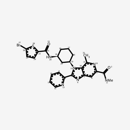 CNC(=O)c1cc2nc(-c3ccccn3)n([C@@H]3CCC[C@H](NC(=O)c4ccc(Br)s4)C3)c2c(C)n1